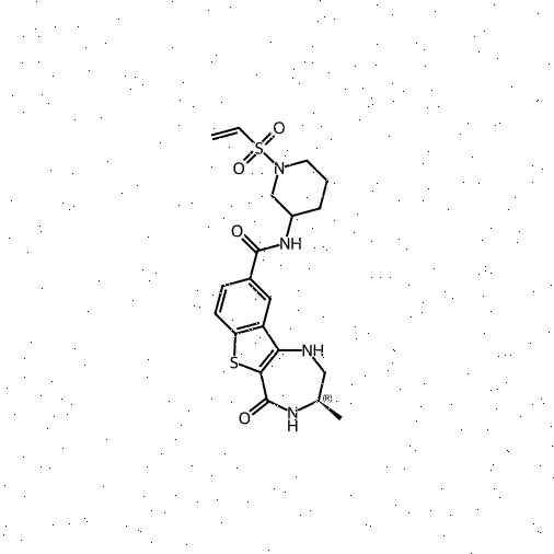 C=CS(=O)(=O)N1CCCC(NC(=O)c2ccc3sc4c(c3c2)NC[C@@H](C)NC4=O)C1